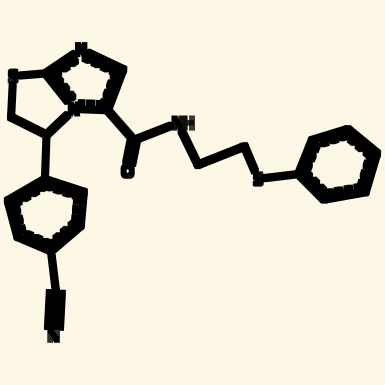 N#Cc1ccc(C2CSc3ncc(C(=O)NCCSc4ccccc4)n32)cc1